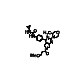 COCCC(=O)N1Cc2nc(N3CCOCC3C)nc(-c3ccc(NC(=O)NC4CC4)cc3)c2C1